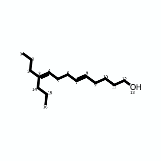 CCCC(=CCCC=CCCCCO)CCC